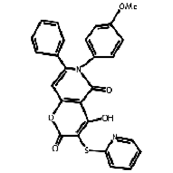 COc1ccc(-n2c(-c3ccccc3)cc3oc(=O)c(Sc4ccccn4)c(O)c3c2=O)cc1